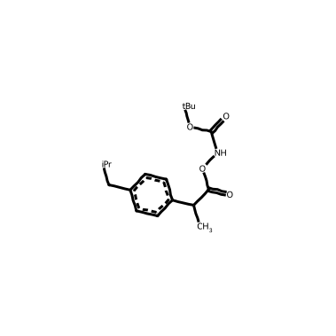 CC(C)Cc1ccc(C(C)C(=O)ONC(=O)OC(C)(C)C)cc1